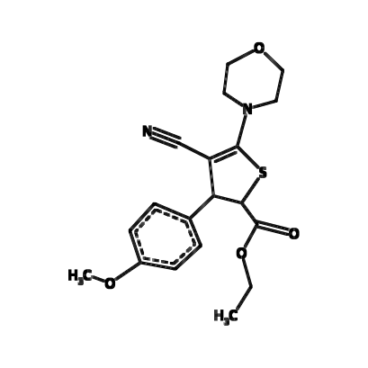 CCOC(=O)C1SC(N2CCOCC2)=C(C#N)C1c1ccc(OC)cc1